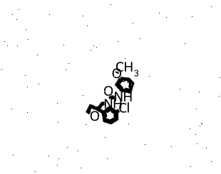 COc1cccc(NC(=O)NCC2(c3cccc(Cl)c3)CCO2)c1